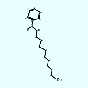 CCCCCCCCCCCCCCCCCCCCN(C)c1ccccc1